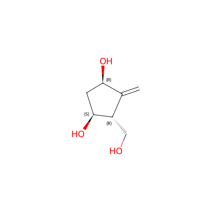 C=C1[C@H](O)C[C@H](O)[C@H]1CO